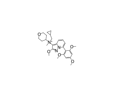 COc1cc(OC)c(-c2cccc3c([N+](C)(CC4CC4)C4CCOCC4)c(OC)nn23)c(OC)c1